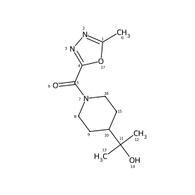 Cc1nnc(C(=O)N2CCC(C(C)(C)O)CC2)o1